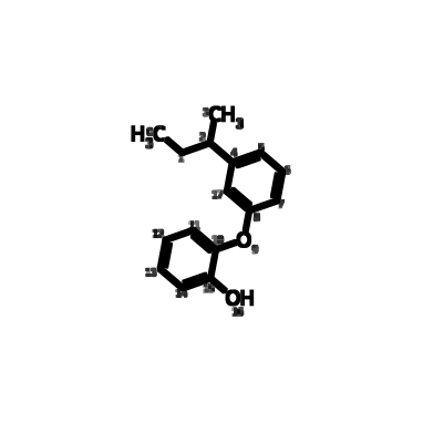 CCC(C)c1cccc(Oc2ccccc2O)c1